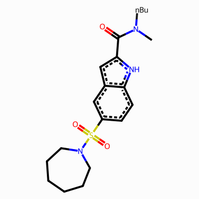 CCCCN(C)C(=O)c1cc2cc(S(=O)(=O)N3CCCCCC3)ccc2[nH]1